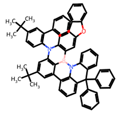 CC(C)(C)c1ccc(N2c3cc4c(cc3B3c5c(cc(C(C)(C)C)cc52)-c2cccc5c2N3c2ccccc2C5(c2ccccc2)c2ccccc2)oc2ccccc24)c(-c2ccccc2)c1